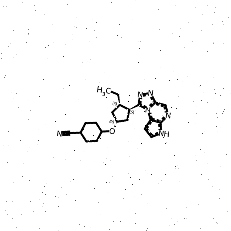 CC[C@@H]1C[C@@H](OC2CCC(C#N)CC2)C[C@@H]1c1nnc2cnc3[nH]ccc3n12